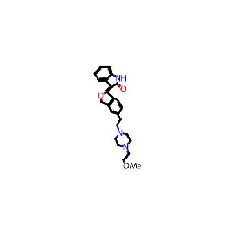 COCCN1CCN(CCc2ccc3c(c2)COC3=C2C(=O)Nc3ccccc32)CC1